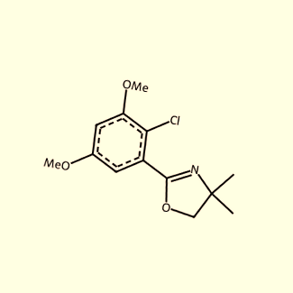 COc1cc(OC)c(Cl)c(C2=NC(C)(C)CO2)c1